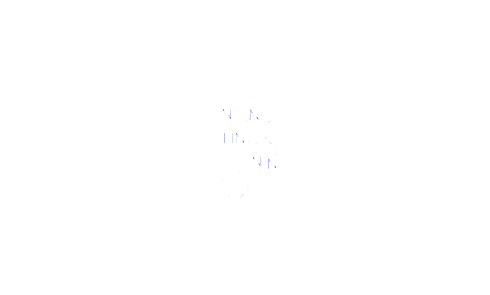 O=c1nc(N2CCCC2)[nH]c2c1cnn2-c1ccccc1